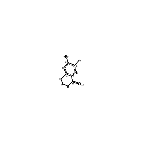 Cc1nc2c(cc1Br)CCCC2=O